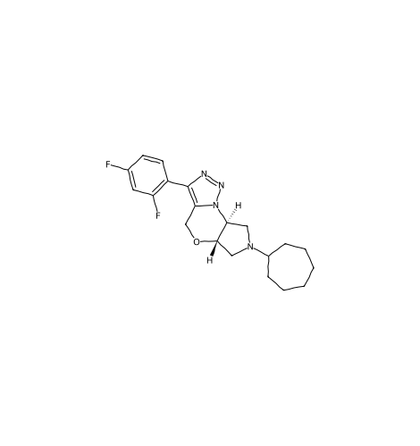 Fc1ccc(-c2nnn3c2CO[C@H]2CN(C4CCCCCC4)C[C@@H]23)c(F)c1